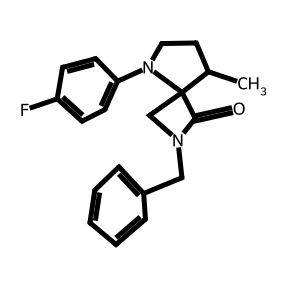 CC1CCN(c2ccc(F)cc2)C12CN(Cc1ccccc1)C2=O